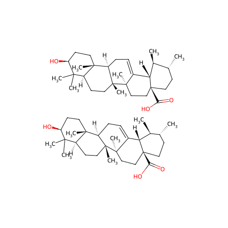 C[C@H]1[C@H](C)CC[C@]2(C(=O)O)CC[C@]3(C)C(=CC[C@@H]4[C@@]5(C)CC[C@H](O)C(C)(C)[C@@H]5CC[C@]43C)[C@H]12.C[C@H]1[C@H](C)CC[C@]2(C(=O)O)CC[C@]3(C)C(=CC[C@@H]4[C@@]5(C)CC[C@H](O)C(C)(C)[C@@H]5CC[C@]43C)[C@H]12